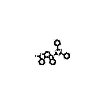 O=c1oc2ccc3c(c4ccccc4n3-c3nc(-c4ccccc4)nc(-c4ccccc4)n3)c2c2ccccc12